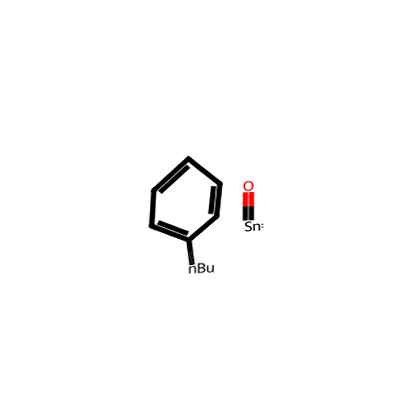 CCCCc1ccccc1.[O]=[Sn]